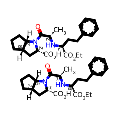 CCOC(=O)[C@H](CCc1ccccc1)N[C@@H](C)C(=O)N1[C@H](C(=O)O)C[C@@H]2CCC[C@@H]21.CCOC(=O)[C@H](CCc1ccccc1)N[C@@H](C)C(=O)N1[C@H](C(=O)O)C[C@@H]2CCC[C@@H]21